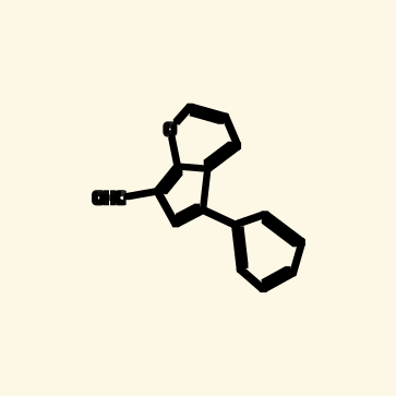 O=Cc1cc(-c2ccccc2)c2cccoc1-2